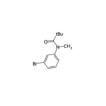 CN(C(=O)C(C)(C)C)c1cccc(Br)c1